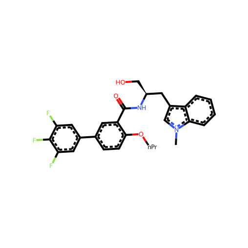 CCCOc1ccc(-c2cc(F)c(F)c(F)c2)cc1C(=O)N[C@@H](CO)Cc1cn(C)c2ccccc12